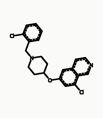 Clc1ccccc1CN1CCC(Oc2cc(Cl)c3cnccc3c2)CC1